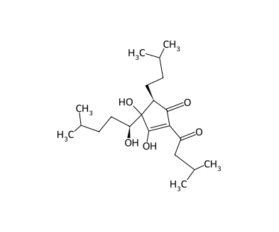 CC(C)CC[C@H](O)C1(O)C(O)=C(C(=O)CC(C)C)C(=O)[C@@H]1CCC(C)C